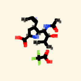 C/C=C\[C@@H]1C[C@H](C(=O)O)N[C@H]1[C@@H](NC(C)=O)[C@@H](O)C(C)C.O=C(O)C(F)(F)F